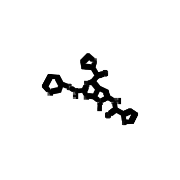 Cn1c(NC(=O)c2cccs2)cc2c(C(=O)c3cccs3)nc(NCc3cccnc3)nc21